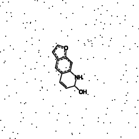 OC1C=Cc2cc3ccoc3cc2N1